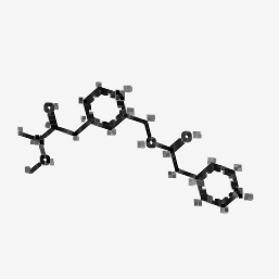 CON(C)C(=O)Cc1ccnc(COC(=O)Cc2ccncc2)c1